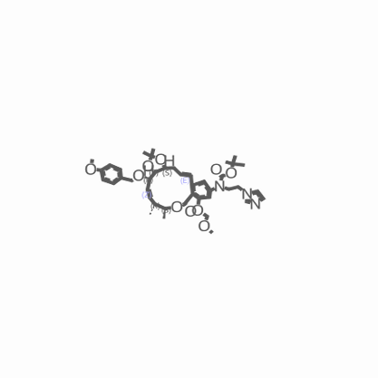 COCOc1cc(N(CCn2ccnc2)C(=O)OC(C)(C)C)cc2c1C(=O)O[C@@H](C)[C@H](C)/C=C\[C@@H](OCc1ccc(OC)cc1)[C@H]1OC(C)(C)O[C@H]1C/C=C/2